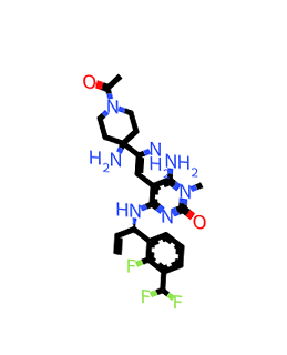 C=C[C@@H](Nc1nc(=O)n(C)c(N)c1/C=C(\N)C1(N)CCN(C(C)=O)CC1)c1cccc(C(F)F)c1F